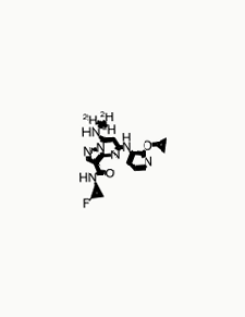 [2H]C([2H])([2H])Nc1cc(Nc2cccnc2OC2CC2)nc2c(C(=O)N[C@@H]3C[C@@H]3F)cnn12